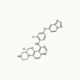 Fc1cc(Oc2ccn3ncnc3c2)ccc1Nc1ncnc2ccc3c(c12)OC[C@@H]1CNCCN31